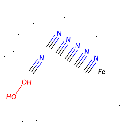 C#N.C#N.C#N.C#N.C#N.C#N.OO.[Fe]